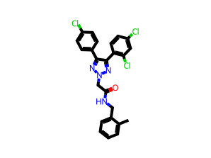 Cc1ccccc1CNC(=O)Cn1nc(-c2ccc(Cl)cc2)c(-c2ccc(Cl)cc2Cl)n1